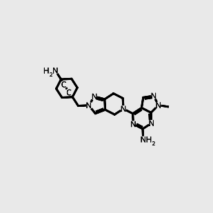 Cn1ncc2c(N3CCc4nn(CC56CCC(N)(CC5)CC6)cc4C3)nc(N)nc21